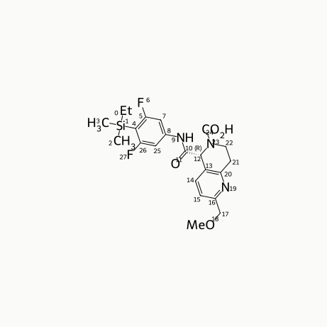 CC[Si](C)(C)c1c(F)cc(NC(=O)[C@H]2c3ccc(COC)nc3CCN2C(=O)O)cc1F